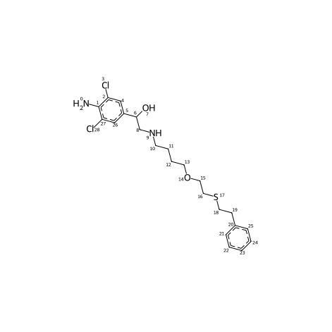 Nc1c(Cl)cc(C(O)CNCCCCOCCSCCc2ccccc2)cc1Cl